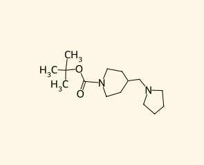 CC(C)(C)OC(=O)N1CCC(CN2CCCC2)CC1